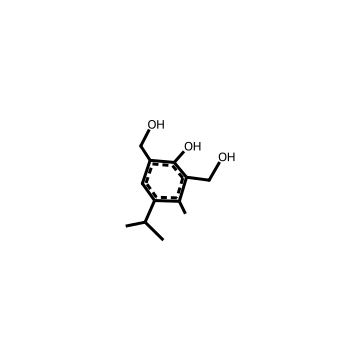 Cc1c(C(C)C)cc(CO)c(O)c1CO